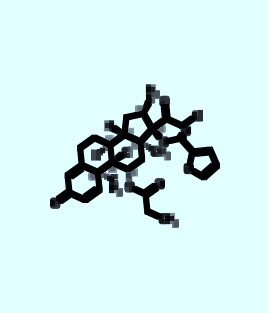 CCC(=O)O[C@H]1C[C@@]2(C)[C@@H](C[C@@H](C)[C@]2(OC(=O)c2ccco2)C(=O)CCl)[C@@H]2CCC3=CC(=O)C=C[C@]3(C)[C@@]12Cl